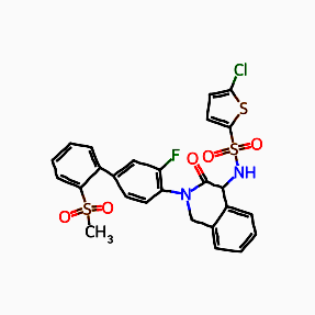 CS(=O)(=O)c1ccccc1-c1ccc(N2Cc3ccccc3C(NS(=O)(=O)c3ccc(Cl)s3)C2=O)c(F)c1